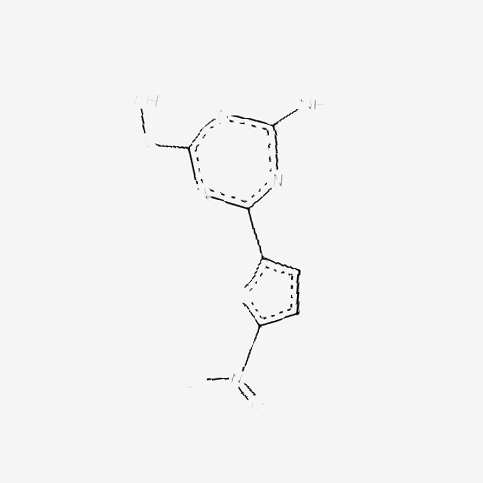 CSc1nc(N)nc(-c2ccc([N+](=O)[O-])o2)n1